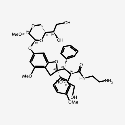 COc1ccc([C@]2([C@H](c3ccccc3)[C@@H](C(=O)NCCN)[C@@H](O)CO)Cc3c(OC)cc(O[C@@H]4O[C@@H]([C@H](O)CO)CO[C@H]4OC)cc3O2)cc1